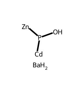 O[P]([Zn])[Cd].[BaH2]